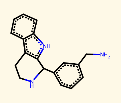 NCc1cccc(C2NCCc3c2[nH]c2ccccc32)c1